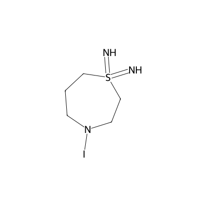 N=S1(=N)CCCN(I)CC1